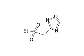 CCS(=O)(=O)Cc1ncon1